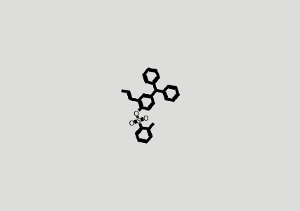 CC=Cc1cc(C(c2ccccc2)c2ccccc2)ccc1OS(=O)(=O)c1ccccc1C